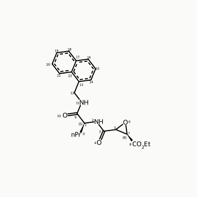 CCC[C@H](NC(=O)C1O[C@H]1C(=O)OCC)C(=O)NCc1cccc2ccccc12